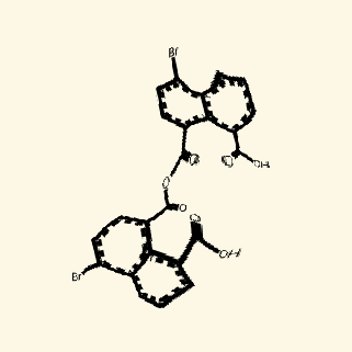 O=C(O)c1cccc2c(Br)ccc(C(=O)OC(=O)c3ccc(Br)c4cccc(C(=O)O)c34)c12